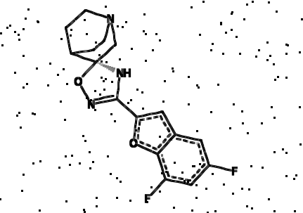 Fc1cc(F)c2oc(C3=NO[C@@]4(CN5CCC4CC5)N3)cc2c1